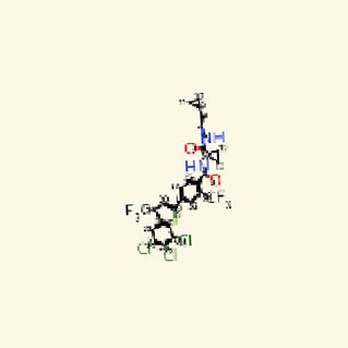 O=C(NC1(C(=O)NCCC2CC2)CC1)c1ccc(/C(F)=C/C(c2cc(Cl)c(Cl)c(Cl)c2)C(F)(F)F)cc1C(F)(F)F